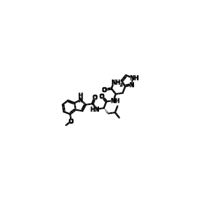 COc1cccc2[nH]c(C(=O)N[C@@H](CC(C)C)C(=O)NC(Cc3cc[nH]n3)C(N)=O)cc12